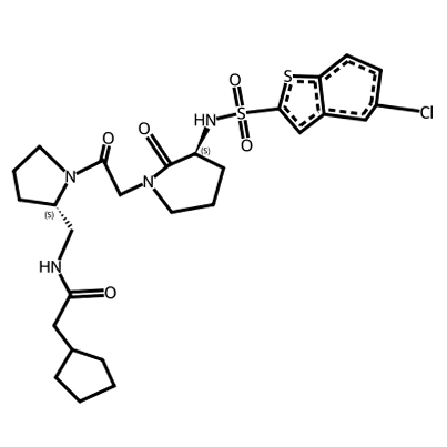 O=C(CC1CCCC1)NC[C@@H]1CCCN1C(=O)CN1CCC[C@H](NS(=O)(=O)c2cc3cc(Cl)ccc3s2)C1=O